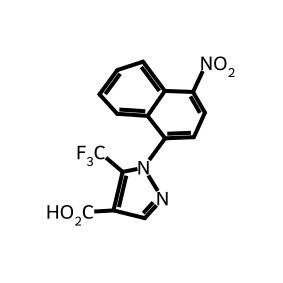 O=C(O)c1cnn(-c2ccc([N+](=O)[O-])c3ccccc23)c1C(F)(F)F